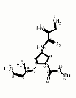 C=CC(=N)C(=O)N[C@@H]1C[C@@H](CN(N)/C=C\N)N(C(=O)OC(C)(C)C)C1